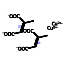 C/C(=C/C(=O)[O-])C(=O)[O-].C/C(=C/C(=O)[O-])C(=O)[O-].[Cu+2].[Cu+2]